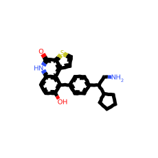 NCC(c1ccc(-c2c(O)ccc3[nH]c(=O)c4sccc4c23)cc1)C1CCCC1